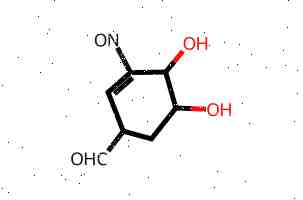 O=CC1C=C(N=O)C(O)C(O)C1